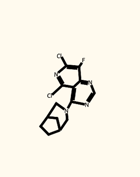 Fc1c(Cl)nc(Cl)c2c(N3CC4CCC(C4)C3)ncnc12